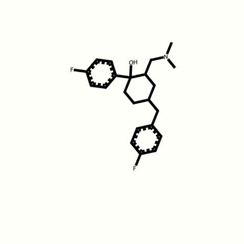 CN(C)CC1CC(Cc2ccc(F)cc2)CCC1(O)c1ccc(F)cc1